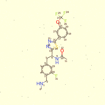 CNCc1ccc(CC(NC(C)=O)c2nnc(-c3cccc(OC(F)(F)F)c3)s2)cc1F